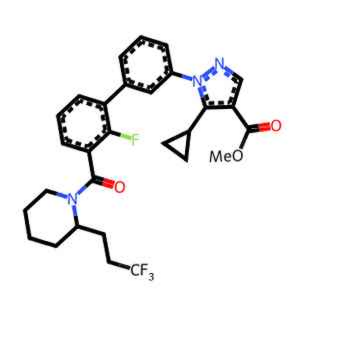 COC(=O)c1cnn(-c2cccc(-c3cccc(C(=O)N4CCCCC4CCC(F)(F)F)c3F)c2)c1C1CC1